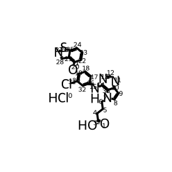 Cl.O=C(O)CCCn1ccc2ncnc(Nc3ccc(Oc4cccc5sncc45)c(Cl)c3)c21